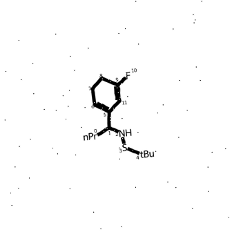 CCCC(NSC(C)(C)C)C1=CCCC(F)=C1